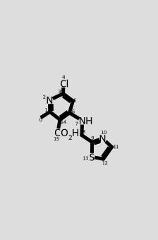 Cc1nc(Cl)cc(NCc2nccs2)c1C(=O)O